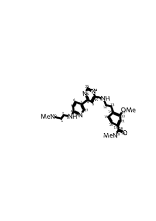 CNCCNc1ccc(-c2cc(NCCc3ccc(C(=O)NC)cc3OC)ncn2)cn1